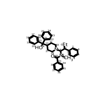 CCC(c1ccccc1)C(N1CCC(C(O)(c2ccccc2)c2ccccc2)CC1)N(C)C(=O)c1ccccc1